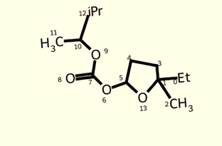 CCC1(C)CCC(OC(=O)OC(C)C(C)C)O1